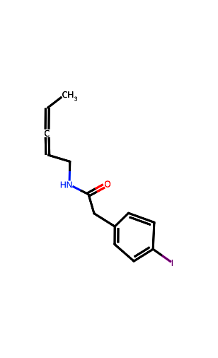 CC=C=CCNC(=O)Cc1ccc(I)cc1